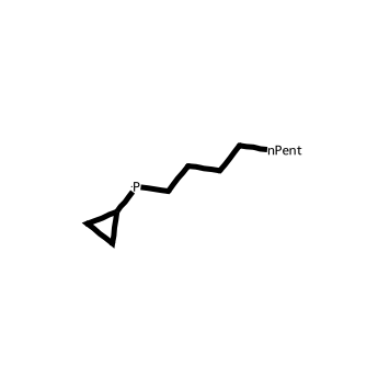 CCCCCCCCC[P]C1CC1